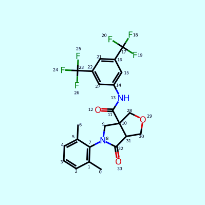 Cc1cccc(C)c1N1CC2(C(=O)Nc3cc(C(F)(F)F)cc(C(F)(F)F)c3)COCC2C1=O